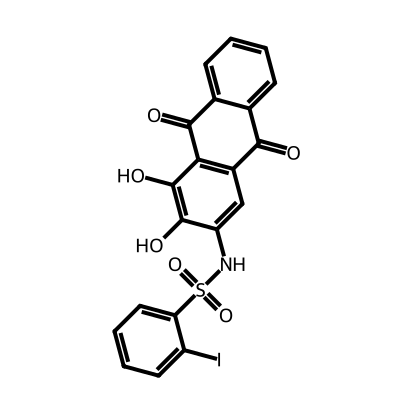 O=C1c2ccccc2C(=O)c2c1cc(NS(=O)(=O)c1ccccc1I)c(O)c2O